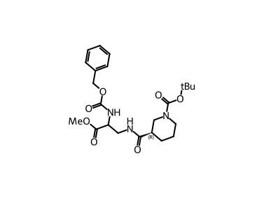 COC(=O)C(CNC(=O)[C@@H]1CCCN(C(=O)OC(C)(C)C)C1)NC(=O)OCc1ccccc1